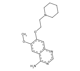 COc1cc2c(N)ncnc2cc1OCCN1CCCCC1